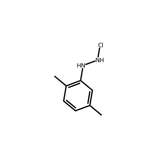 Cc1ccc(C)c(NNCl)c1